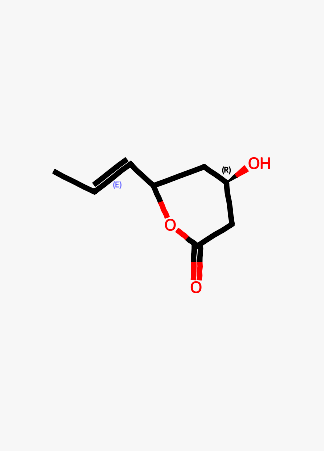 C/C=C/C1C[C@@H](O)CC(=O)O1